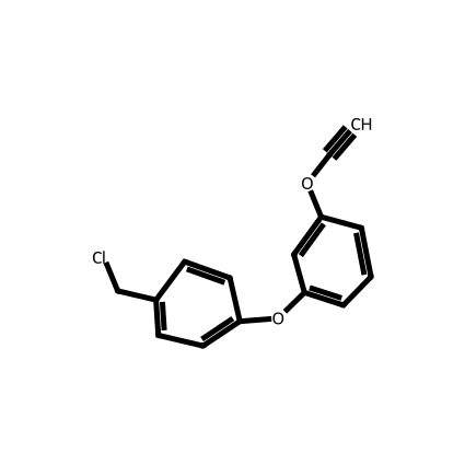 C#COc1cccc(Oc2ccc(CCl)cc2)c1